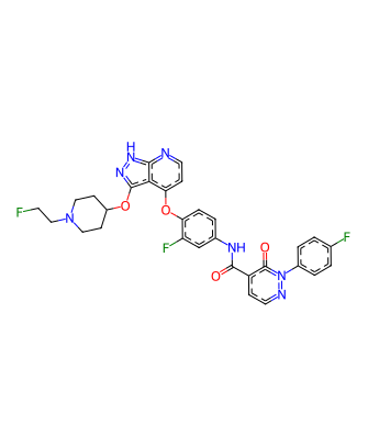 O=C(Nc1ccc(Oc2ccnc3[nH]nc(OC4CCN(CCF)CC4)c23)c(F)c1)c1ccnn(-c2ccc(F)cc2)c1=O